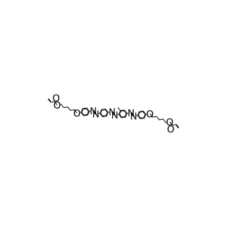 C=CC(=O)OCCCCCOc1ccc(N=Nc2ccc(N=Nc3ccc(N=Nc4ccc(OCCCCCOC(=O)C=C)cc4)cc3C)cc2)cc1